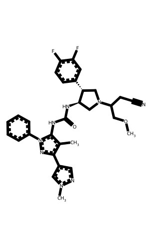 COCC(CC#N)N1C[C@@H](NC(=O)Nc2c(C)c(-c3cnn(C)c3)nn2-c2ccccc2)[C@H](c2ccc(F)c(F)c2)C1